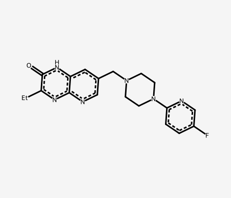 CCc1nc2ncc(CN3CCN(c4ccc(F)cn4)CC3)cc2[nH]c1=O